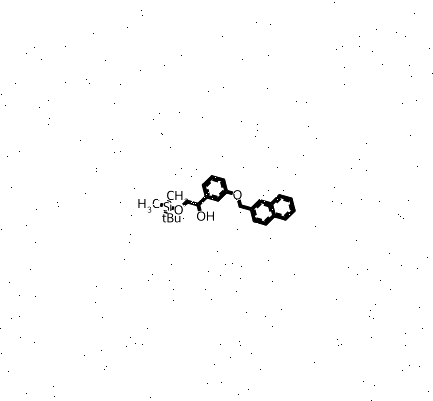 CC(C)(C)[Si](C)(C)OCC(O)c1cccc(OCc2ccc3ccccc3c2)c1